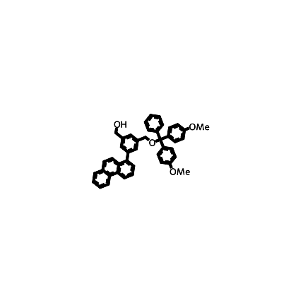 COc1ccc(C(OCc2cc(CO)cc(-c3cccc4c3ccc3ccccc34)c2)(c2ccccc2)c2ccc(OC)cc2)cc1